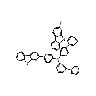 Fc1ccc2c3ccccc3n(-c3ccccc3-c3ccc(N(c4ccc(-c5ccc6c(c5)sc5ccccc56)cc4)c4cccc(-c5ccccc5)c4)cc3)c2c1